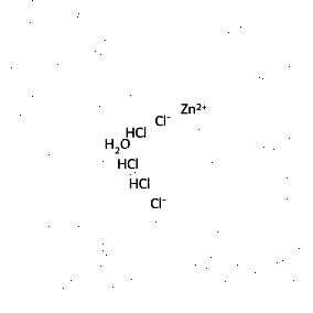 Cl.Cl.Cl.O.[Cl-].[Cl-].[Zn+2]